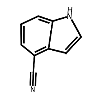 N#Cc1cccc2[nH]c[c]c12